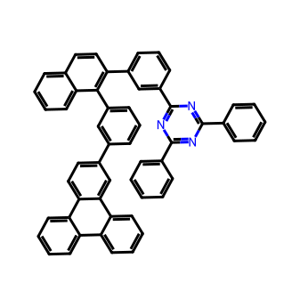 c1ccc(-c2nc(-c3ccccc3)nc(-c3cccc(-c4ccc5ccccc5c4-c4cccc(-c5ccc6c7ccccc7c7ccccc7c6c5)c4)c3)n2)cc1